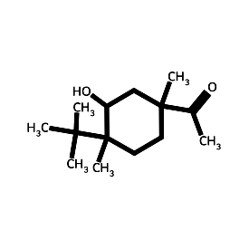 CC(=O)C1(C)CCC(C)(C(C)(C)C)C(O)C1